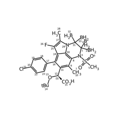 BC1(B)N(S(C)(=O)=O)c2c(C)c([C@H](OC(C)(C)C)C(=O)O)c(-c3ccc(Cl)cc3)c3c(F)c(C)n(c23)C1(B)B